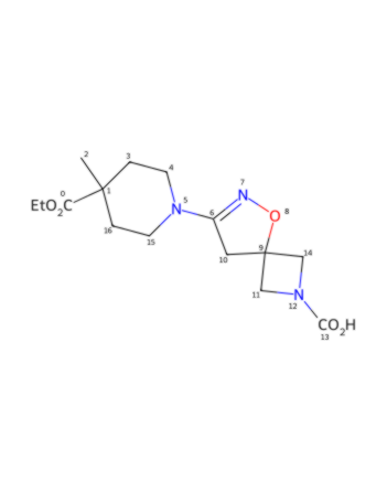 CCOC(=O)C1(C)CCN(C2=NOC3(C2)CN(C(=O)O)C3)CC1